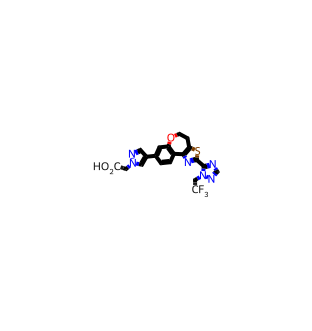 O=C(O)Cn1cc(-c2ccc3c(c2)OCCc2sc(-c4ncnn4CC(F)(F)F)nc2-3)cn1